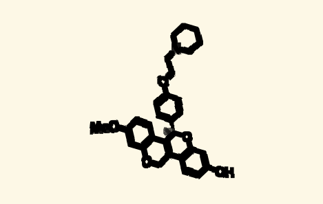 COc1ccc2c(c1)OCC1=C2[C@H](c2ccc(OCCN3CCCCC3)cc2)Oc2cc(O)ccc21